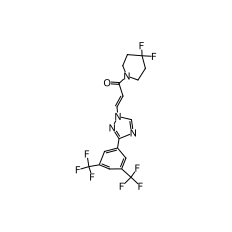 O=C(C=Cn1cnc(-c2cc(C(F)(F)F)cc(C(F)(F)F)c2)n1)N1CCC(F)(F)CC1